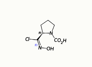 O=C(O)N1CCC[C@@H]1/C(Cl)=N\O